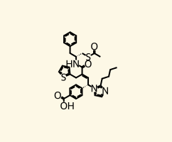 CCCCc1nccn1[C@@H](/C=C(\Cc1cccs1)C(=O)N[C@@H](CSC(C)=O)Cc1ccccc1)c1ccc(C(=O)O)cc1